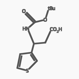 CC(C)(C)OC(=O)NC(CC(=O)O)c1ccsc1